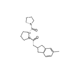 Cc1ccc2c(c1)CC(CC(=O)N1CCC[C@@H]1C(=O)N1CCCC1)C2